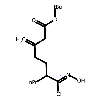 C=C(CCC(CCC)/C(Cl)=N/O)CC(=O)OC(C)(C)C